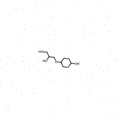 OCC(O)COC1CCC(O)CC1